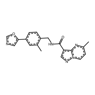 Cc1ccn2ncc(C(=O)NCc3ccc(-c4cnco4)cc3C)c2n1